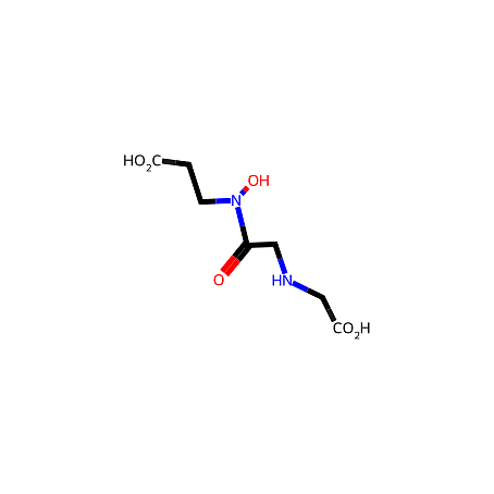 O=C(O)CCN(O)C(=O)CNCC(=O)O